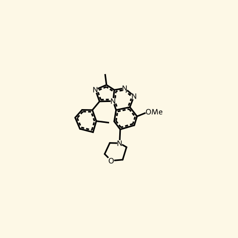 COc1cc(N2CCOCC2)cc2c1nnc1c(C)nc(-c3ccccc3C)n12